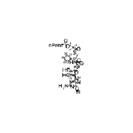 CCCCCC(=O)OCC(C)(C)C(=O)SCCOP(=O)(NCc1ccccc1)OC[C@H]1O[C@@H](n2cnc3c(OCC)nc(N)nc32)[C@](C)(O)[C@@H]1O